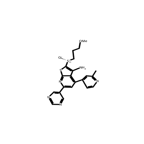 COCCC[S@@+]([O-])c1sc2nc(-c3cncnc3)cc(-c3ccnc(C)c3)c2c1N